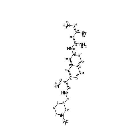 CC(=O)N1CCCC(CN/C=C(\C=N)c2cnc3ccc(N/C(N)=C/C(=C\N)C(C)C)nc3c2)C1